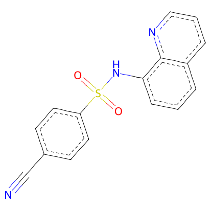 N#Cc1ccc(S(=O)(=O)Nc2cccc3cccnc23)cc1